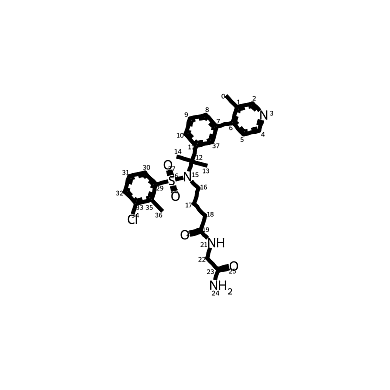 Cc1cnccc1-c1cccc(C(C)(C)N(CCCC(=O)NCC(N)=O)S(=O)(=O)c2cccc(Cl)c2C)c1